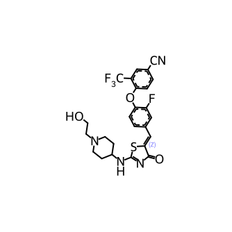 N#Cc1ccc(Oc2ccc(/C=C3\SC(NC4CCN(CCO)CC4)=NC3=O)cc2F)c(C(F)(F)F)c1